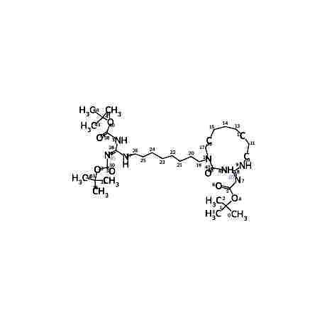 CC(C)(C)OC(=O)/N=C1/NCCCCCCCCN(CCCCCCCCN/C(=N\C(=O)OC(C)(C)C)NC(=O)OC(C)(C)C)C(=O)N1